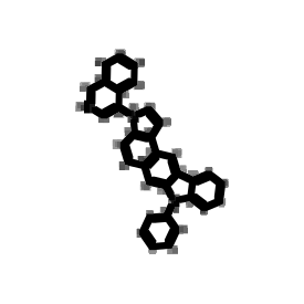 c1ccc(-n2c3ccccc3c3cc4c(ccc5c4ccn5-c4cncc5ccccc45)cc32)cc1